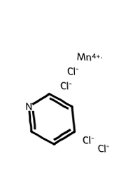 [Cl-].[Cl-].[Cl-].[Cl-].[Mn+4].c1ccncc1